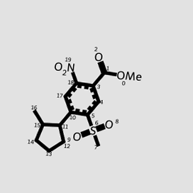 COC(=O)c1cc(S(C)(=O)=O)c(C2CCCC2C)cc1[N+](=O)[O-]